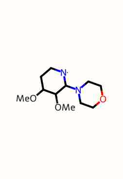 COC1CC[N]C(N2CCOCC2)C1OC